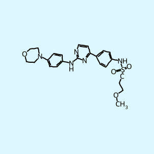 COCCCS(=O)(=O)Nc1ccc(-c2ccnc(Nc3ccc(N4CCOCC4)cc3)n2)cc1